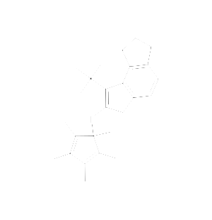 CC1=C(C)[C](C)([Hf][C]2=C(C(C)(C)C)c3c(ccc4c3CCC4)C2)C(C)=C1C